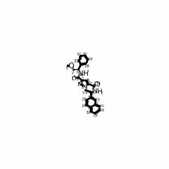 COC[C@H](NC(=O)c1cc2c(=O)[nH]c(-c3ccc4ccccc4c3)cn2n1)c1ccccc1